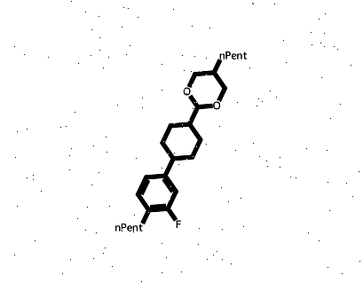 CCCCCc1ccc(C2CCC(C3OCC(CCCCC)CO3)CC2)cc1F